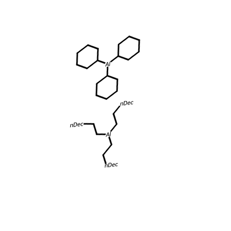 C1CC[CH]([Al]([CH]2CCCCC2)[CH]2CCCCC2)CC1.CCCCCCCCCCC[CH2][Al]([CH2]CCCCCCCCCCC)[CH2]CCCCCCCCCCC